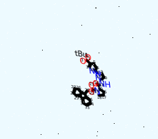 CC(C)(C)OC(=O)c1ccc(-n2ccc(NC(=O)[C@H]3CCCN3C(=O)OCC3c4ccccc4-c4ccccc43)n2)nc1